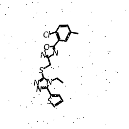 CCn1c(SCc2noc(-c3cc(C)ccc3Cl)n2)nnc1-c1cccs1